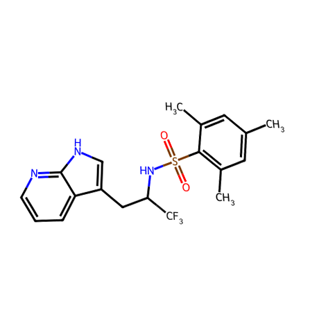 Cc1cc(C)c(S(=O)(=O)NC(Cc2c[nH]c3ncccc23)C(F)(F)F)c(C)c1